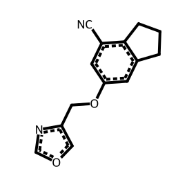 N#Cc1cc(OCc2cocn2)cc2c1CCC2